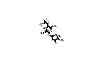 C=C(C)CC(NC(=C)CNC(=C)CC(C)C(C)C)C(C)C